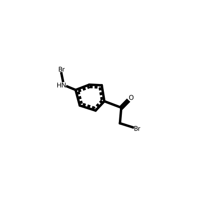 O=C(CBr)c1ccc(NBr)cc1